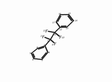 FC(F)(c1ccccc1)C(F)(F)c1ccccc1